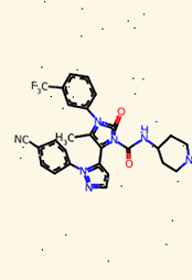 Cc1c(-c2ccnn2-c2ccc(C#N)cc2)n(C(=O)NC2CCNCC2)c(=O)n1-c1cccc(C(F)(F)F)c1